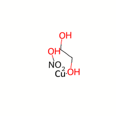 O=[N+]([O-])O.OCCO.[Cu]